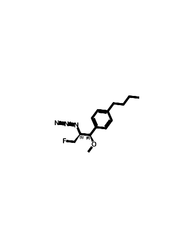 CCCCc1ccc([C@@H](OC)[C@@H](CF)N=[N+]=[N-])cc1